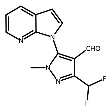 Cn1nc(C(F)F)c(C=O)c1-n1ccc2cccnc21